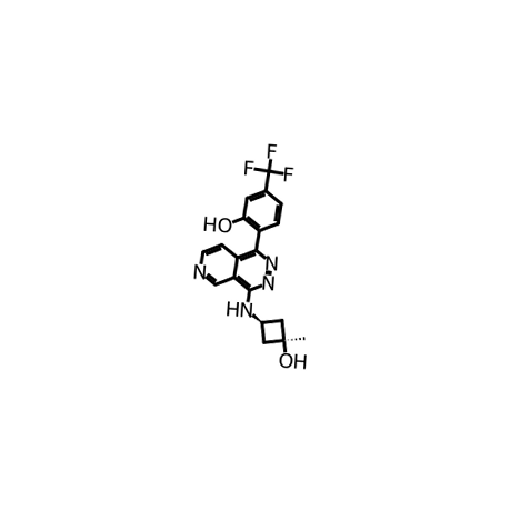 C[C@]1(O)C[C@@H](Nc2nnc(-c3ccc(C(F)(F)F)cc3O)c3ccncc23)C1